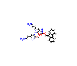 NCCCCC(NC(=O)C(CCCCN)NC(=O)OCC1c2ccccc2-c2ccccc21)C(N)=O